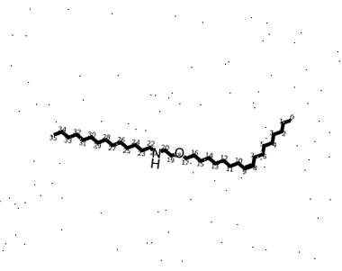 CCCCCCCC/C=C\CCCCCCCCOCCNCCCCCCCCCCCCCC